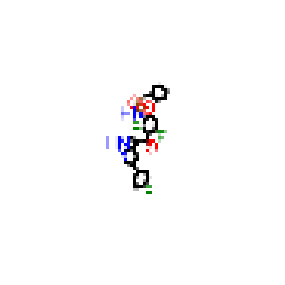 O=C(c1c(F)ccc(NS(=O)(=O)Cc2ccccc2)c1F)c1c[nH]c2ncc(-c3ccc(F)cc3)cc12